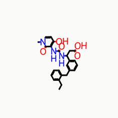 CCc1ccccc1Cc1cccc(C(CC(=O)O)NC(=O)Nc2c(O)ccn(C)c2=O)c1